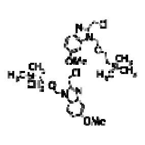 COc1ccc2c(c1)nc(CCl)n2COCC[Si](C)(C)C.COc1ccc2nc(CCl)n(COCC[Si](C)(C)C)c2c1